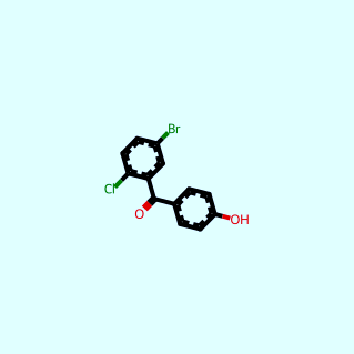 O=C(c1ccc(O)cc1)c1cc(Br)ccc1Cl